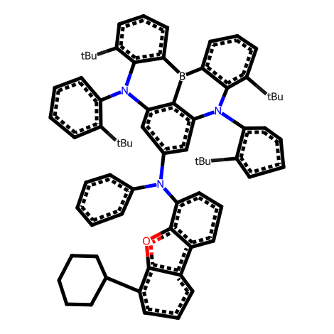 CC(C)(C)c1ccccc1N1c2cc(N(c3ccccc3)c3cccc4c3oc3c(C5CCCCC5)cccc34)cc3c2B(c2cccc(C(C)(C)C)c21)c1cccc(C(C)(C)C)c1N3c1ccccc1C(C)(C)C